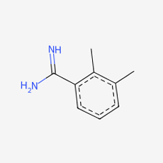 Cc1cccc(C(=N)N)c1C